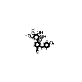 COc1ccc(Cc2cc([C@]3(OC)O[C@H](CO)[C@@H](O)[C@H](O)[C@H]3O)ccc2C#N)cc1